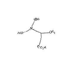 CC(C(=O)O)N(O)C(C)(C)C